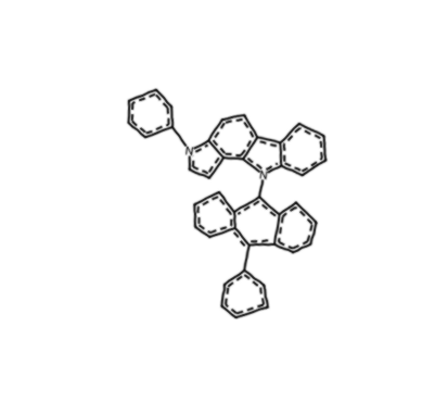 c1ccc(-c2c3ccccc3c(-n3c4ccccc4c4ccc5c(ccn5-c5ccccc5)c43)c3ccccc23)cc1